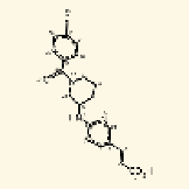 O=C(O)/C=C/c1ccc(N[C@@H]2CCCN(C(=O)c3ccc(Cl)cc3)C2)nc1